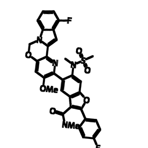 CNC(=O)c1c(-c2ccc(F)cc2)oc2cc(N(C)S(C)(=O)=O)c(-c3nc4c(cc3OC)OCn3c-4cc4c(F)cccc43)cc12